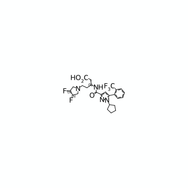 O=C(O)C[C@H](CCN1C[C@H](F)[C@@H](F)C1)NC(=O)c1cc(-c2ccccc2C(F)(F)F)n(C2CCCC2)n1